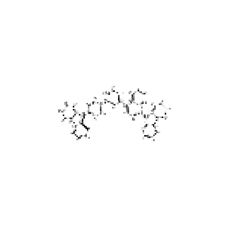 c1ccc2c(-n3c4ccccc4c4ccccc43)ccc(-c3cncc(-c4ccc(-n5c6ccccc6c6ccccc65)cc4)c3)c2c1